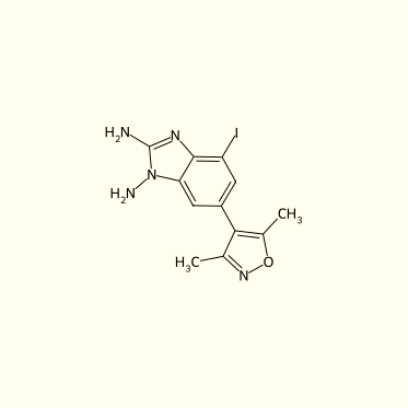 Cc1noc(C)c1-c1cc(I)c2nc(N)n(N)c2c1